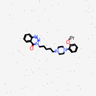 CC(C)Oc1ccccc1N1CCN(CCCCCn2nnc3ccccc3c2=O)CC1